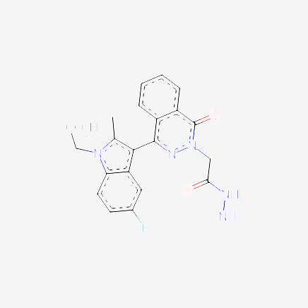 Cc1c(-c2nn(CC(=O)NN)c(=O)c3ccccc23)c2cc(F)ccc2n1CC(=O)O